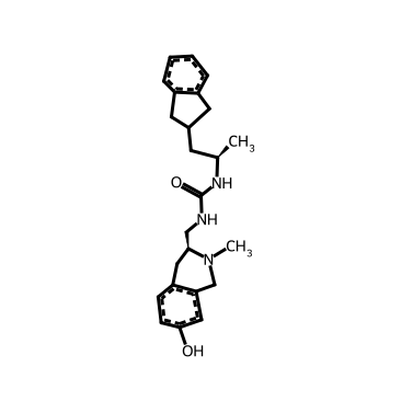 C[C@H](CC1Cc2ccccc2C1)NC(=O)NC[C@@H]1Cc2ccc(O)cc2CN1C